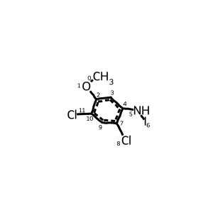 COc1cc(NI)c(Cl)cc1Cl